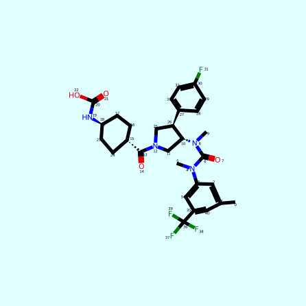 Cc1cc(N(C)C(=O)N(C)[C@@H]2CN(C(=O)[C@H]3CC[C@H](NC(=O)O)CC3)C[C@H]2c2ccc(F)cc2)cc(C(F)(F)F)c1